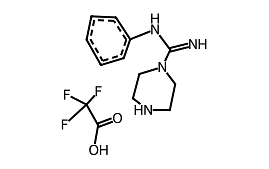 N=C(Nc1ccccc1)N1CCNCC1.O=C(O)C(F)(F)F